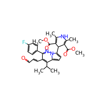 COC(=O)C1=C(C)NC(C)=C(C(=O)OC)C1c1ccc2c(C(C)C)c(C=CC=O)c(-c3ccc(F)cc3)nn12